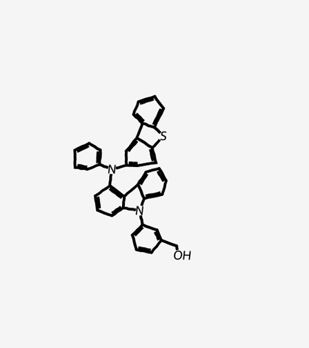 OCc1cccc(-n2c3ccccc3c3c(N(c4ccccc4)c4ccc5sc6ccccc6c5c4)cccc32)c1